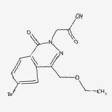 CCOCc1nn(CC(=O)O)c(=O)c2ccc(Br)cc12